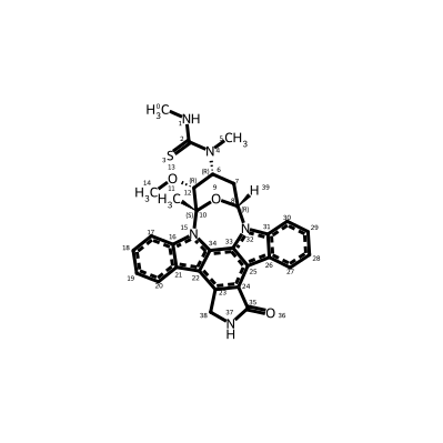 CNC(=S)N(C)[C@@H]1C[C@H]2O[C@@](C)([C@@H]1OC)n1c3ccccc3c3c4c(c5c6ccccc6n2c5c31)C(=O)NC4